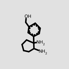 NC1CCCCC1(N)c1cccc(CO)c1